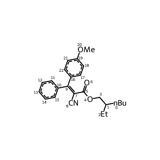 CCCCC(CC)COC(=O)/C(C#N)=C(/c1ccccc1)c1ccc(OC)cc1